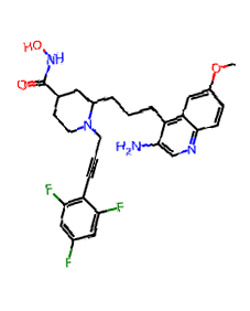 COc1ccc2ncc(N)c(CCCC3CC(C(=O)NO)CCN3CC#Cc3c(F)cc(F)cc3F)c2c1